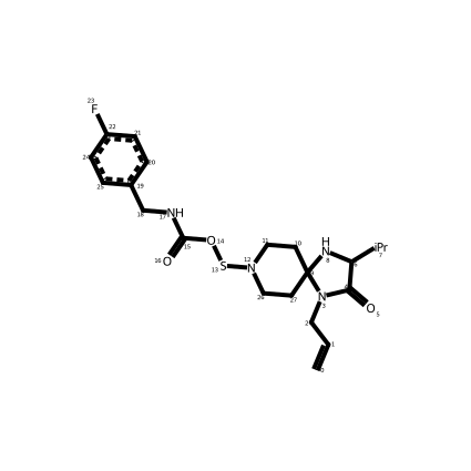 C=CCN1C(=O)C(C(C)C)NC12CCN(SOC(=O)NCc1ccc(F)cc1)CC2